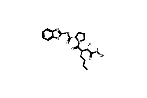 CCCC[C@@H](C(=O)N1CCC[C@H]1C(=O)Nc1nc2ccccc2s1)[C@H](O)C(=O)NO